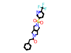 O=C(Cc1ccccc1)N1CC2=C(C1)CN(S(=O)(=O)c1ccc(C(F)(F)F)nc1)C2